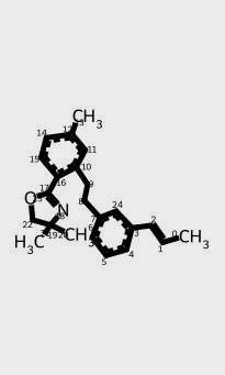 CC=Cc1cccc(CCc2cc(C)ccc2C2=NC(C)(C)CO2)c1